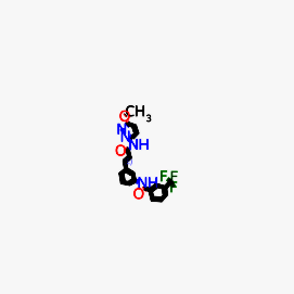 COc1ccc(NC(=O)/C=C/c2cccc(NC(=O)c3cccc(C(F)(F)F)c3)c2)nn1